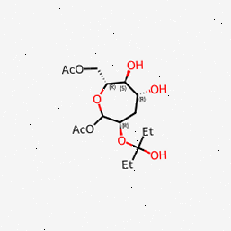 CCC(O)(CC)O[C@@H]1C[C@@H](O)[C@H](O)[C@@H](COC(C)=O)OC1OC(C)=O